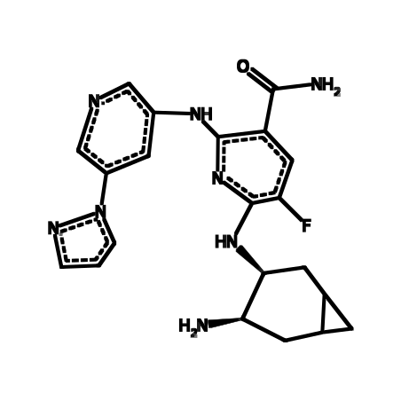 NC(=O)c1cc(F)c(N[C@H]2CC3CC3C[C@H]2N)nc1Nc1cncc(-n2cccn2)c1